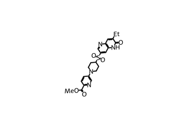 CCc1cc2ncc(S(=O)(=O)C3CCN(c4ccc(C(=O)OC)nc4)CC3)cc2[nH]c1=O